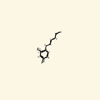 [CH2]CCCCCc1ccc(F)cc1F